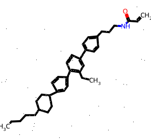 C=CC(=O)NCCCc1ccc(-c2ccc(-c3ccc(C4CCC(CCCCC)CC4)cc3)c(CC)c2)cc1